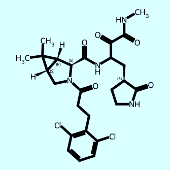 CNC(=O)C(=O)C(C[C@@H]1CCNC1=O)NC(=O)[C@@H]1[C@@H]2[C@H](CN1C(=O)CCc1c(Cl)cccc1Cl)C2(C)C